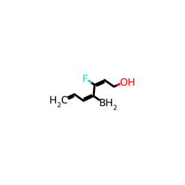 BC(=C/C=C)/C(F)=C\CO